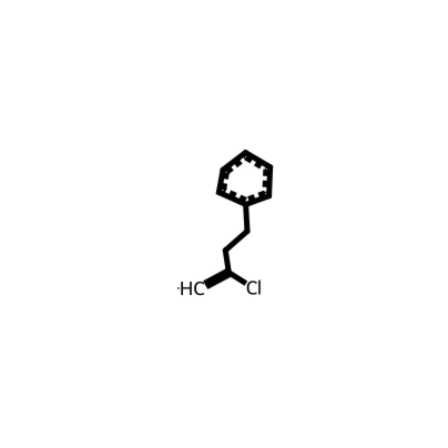 [CH]=C(Cl)CCc1ccccc1